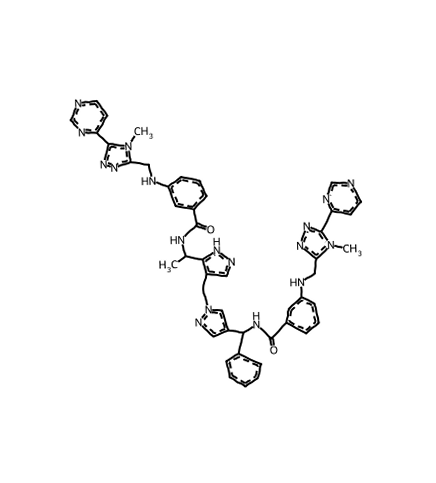 CC(NC(=O)c1cccc(NCc2nnc(-c3ccncn3)n2C)c1)c1[nH]ncc1Cn1cc(C(NC(=O)c2cccc(NCc3nnc(-c4ccncn4)n3C)c2)c2ccccc2)cn1